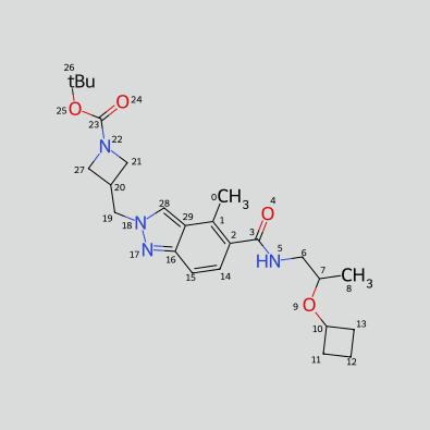 Cc1c(C(=O)NCC(C)OC2CCC2)ccc2nn(CC3CN(C(=O)OC(C)(C)C)C3)cc12